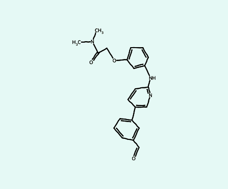 CN(C)C(=O)COc1cccc(Nc2ccc(-c3cccc(C=O)c3)cn2)c1